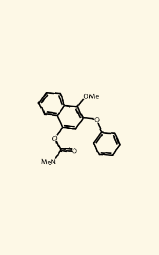 CNC(=O)Oc1cc(Oc2ccccc2)c(OC)c2ccccc12